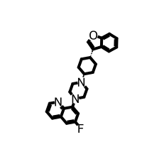 Fc1cc(N2CCN([C@H]3CC[C@@H](c4coc5ccccc54)CC3)CC2)c2ncccc2c1